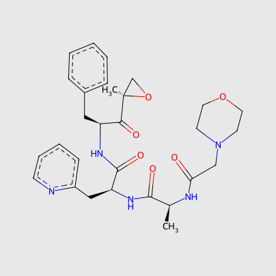 C[C@H](NC(=O)CN1CCOCC1)C(=O)N[C@@H](Cc1ccccn1)C(=O)N[C@@H](Cc1ccccc1)C(=O)[C@@]1(C)CO1